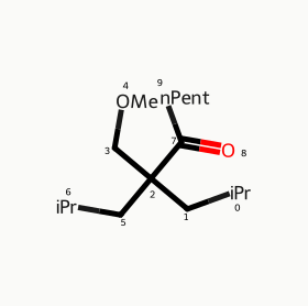 [CH2]C(C)CC(COC)(CC(C)C)C(=O)CCCCC